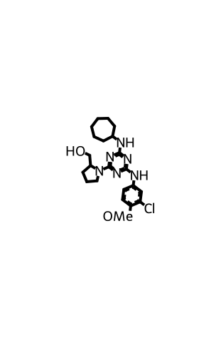 COc1ccc(Nc2nc(NC3CCCCCC3)nc(N3CCCC3CO)n2)cc1Cl